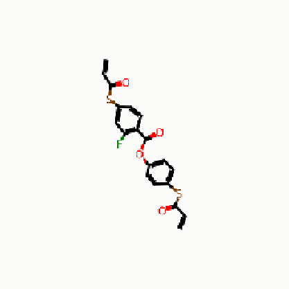 C=CC(=O)Sc1ccc(OC(=O)c2ccc(SC(=O)C=C)cc2F)cc1